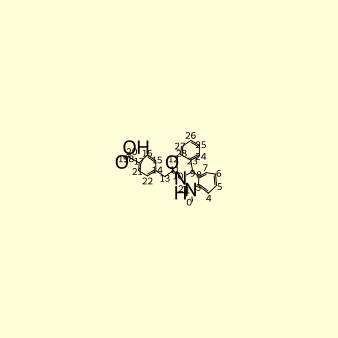 CN(C)c1ccccc1C(NC(=O)Cc1ccc(C(=O)O)cc1)c1ccccc1